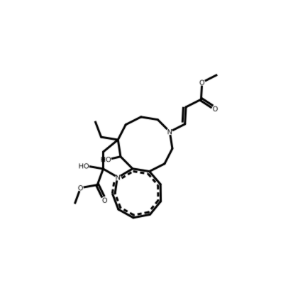 CCC12CCCN(/C=C/C(=O)OC)CCc3ccccccn(c3C1O)C(O)(C(=O)OC)C2